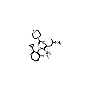 CC1=C(O/C(N)=C(/CC(N)Cl)OC(=O)N2CCOCC2)C(C2CC2)=CCC=C1